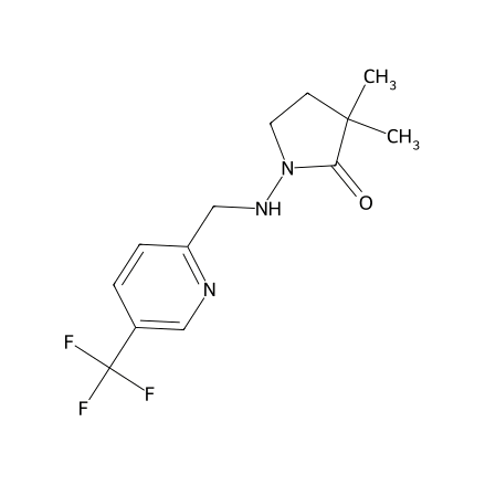 CC1(C)CCN(NCc2ccc(C(F)(F)F)cn2)C1=O